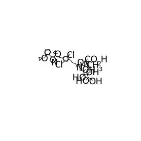 CN(CC(=O)O)CC(=O)N(CCCCc1cc(Cl)c(COC2(c3cnccc3-c3ccccc3OC3CC3)CC2)cc1Cl)CC(O)C(O)C(O)C(O)CO